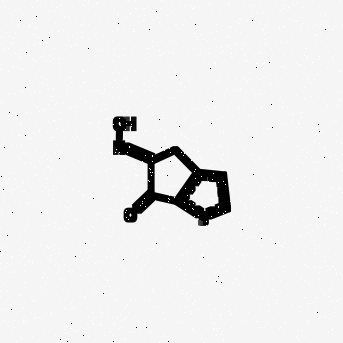 O=C1/C(=N/O)Cc2ccsc21